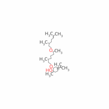 C=C(C)[C@H]1CCC(C)(O)C(OCCC(C)CCCC(C)OCCC(C)CCC=C(C)C)C1